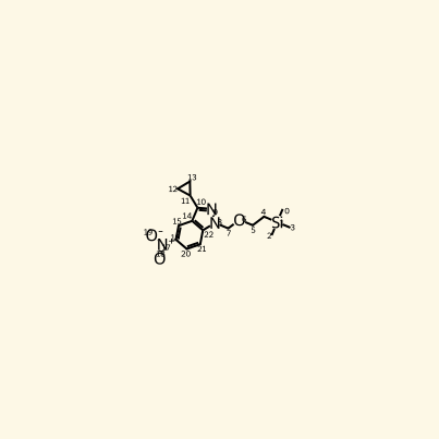 C[Si](C)(C)CCOCn1nc(C2CC2)c2cc([N+](=O)[O-])ccc21